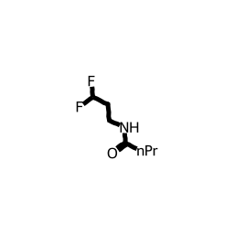 CCCC(=O)NCCC(F)F